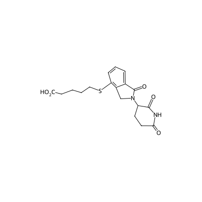 O=C(O)CCCCSc1cccc2c1CN(C1CCC(=O)NC1=O)C2=O